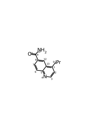 CC(C)c1ccnc2ccc(C(N)=O)cc12